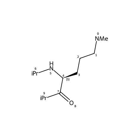 CNCCC[C@H](NC(C)C)C(=O)C(C)C